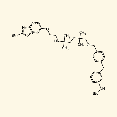 CC(C)(CCC(C)(C)NCCOc1ccc2nc(C(C)(C)C)cn2c1)COCc1ccc(Cc2cccc(NC(C)(C)C)c2)cc1